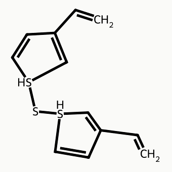 C=CC1=C[SH](S[SH]2C=CC(C=C)=C2)C=C1